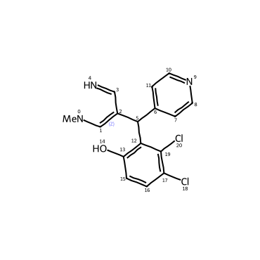 CN/C=C(\C=N)C(c1ccncc1)c1c(O)ccc(Cl)c1Cl